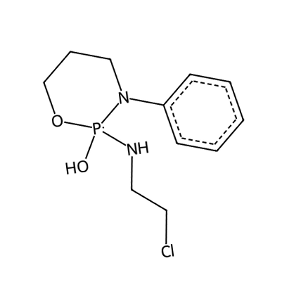 O[P]1(NCCCl)OCCCN1c1ccccc1